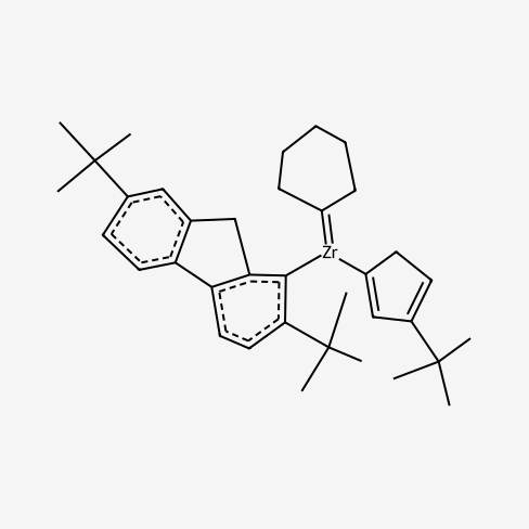 CC(C)(C)C1=CC[C]([Zr](=[C]2CCCCC2)[c]2c(C(C)(C)C)ccc3c2Cc2cc(C(C)(C)C)ccc2-3)=C1